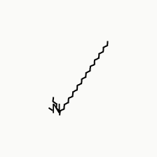 CCCCCCCCCCCCCCCCCCCCCCC(C)N(CC)CCC